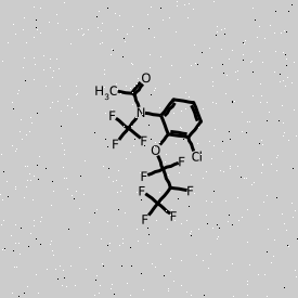 CC(=O)N(c1cccc(Cl)c1OC(F)(F)C(F)C(F)(F)F)C(F)(F)F